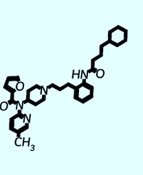 Cc1ccc(N(C(=O)c2ccco2)C2CCN(CCCc3ccccc3NC(=O)CCCC3CCCCC3)CC2)nc1